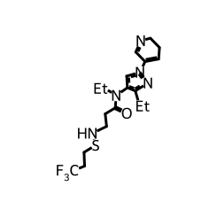 CCc1nn(C2=CCCN=C2)cc1N(CC)C(=O)CCNSCCC(F)(F)F